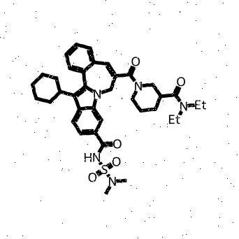 CCN(CC)C(=O)C1CCCN(C(=O)C2=Cc3ccccc3-c3c(C4CCCCC4)c4ccc(C(=O)NS(=O)(=O)N(C)C)cc4n3C2)C1